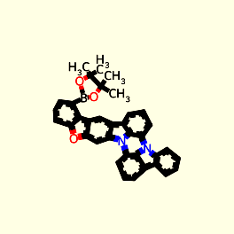 CC1(C)OB(c2cccc3oc4cc5c(cc4c23)c2cccc3c2n5c2cccc4c5ccccc5n3c42)OC1(C)C